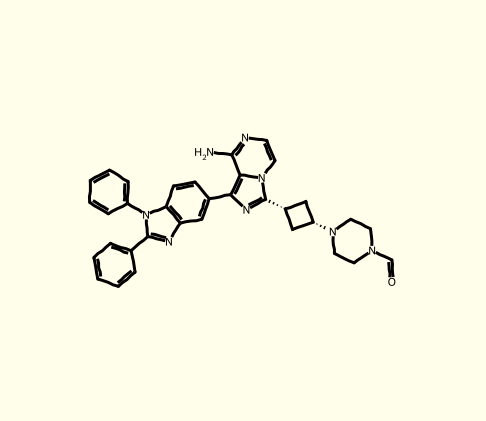 Nc1nccn2c1c(-c1ccc3c(c1)nc(-c1ccccc1)n3-c1ccccc1)nc2[C@H]1C[C@@H](N2CCN(C=O)CC2)C1